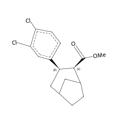 COC(=O)[C@H]1C2CCC(C2)C[C@H]1c1ccc(Cl)c(Cl)c1